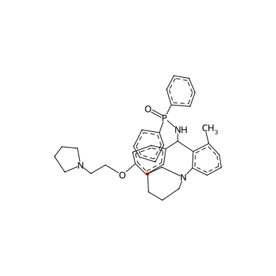 Cc1cccc(N2CCCCC2)c1C(NP(=O)(c1ccccc1)c1ccccc1)c1ccc(OCCN2CCCC2)cc1